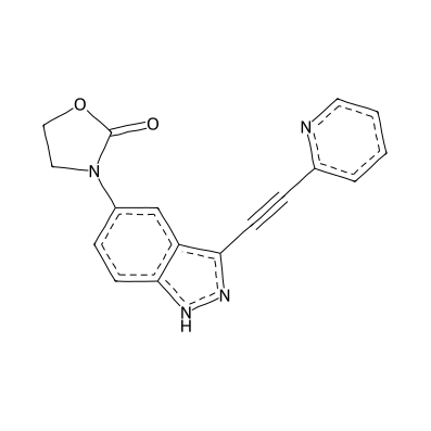 O=C1OCCN1c1ccc2[nH]nc(C#Cc3ccccn3)c2c1